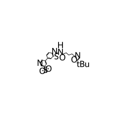 CC(C)(C)c1cnc(CCCC(=O)Nc2nc3ccc(-c4cncc(S(C)(=O)=O)c4)cc3s2)o1